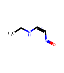 CCN/C=C\N=O